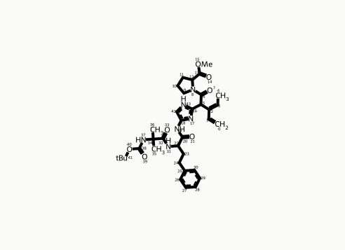 C=C/C(=C/C)C(C(=O)N1CCCC1C(=O)OC)c1nc(NC(=O)C(CCc2ccccc2)NC(=O)C(C)(C)NC(=O)OC(C)(C)C)c[nH]1